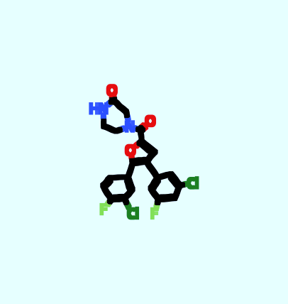 O=C1CN(C(=O)c2cc(-c3cc(F)cc(Cl)c3)c(-c3ccc(F)c(Cl)c3)o2)CCN1